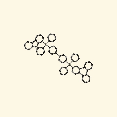 c1ccc([Si](c2ccccc2)(c2ccc(-c3ccc([Si](c4ccccc4)(c4ccccc4)c4cccc5c4sc4ccccc45)cc3)cc2)c2ccc3c4ccccc4c4ccccc4c3c2)cc1